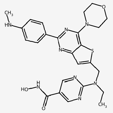 CCN(Cc1cc2nc(-c3ccc(NC)cc3)nc(N3CCOCC3)c2s1)c1ncc(C(=O)NO)cn1